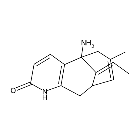 CC=C1C2C=C(C)CC1(N)c1ccc(=O)[nH]c1C2